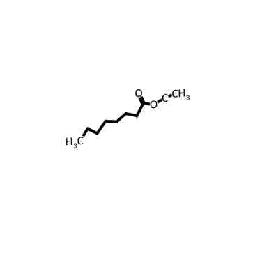 CCCCCC[CH]C(=O)OCC